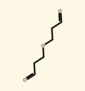 O=CCCOCCC=O